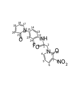 O=C(Cn1cccc([N+](=O)[O-])c1=O)Nc1ccc(-n2ccccc2=O)cc1F